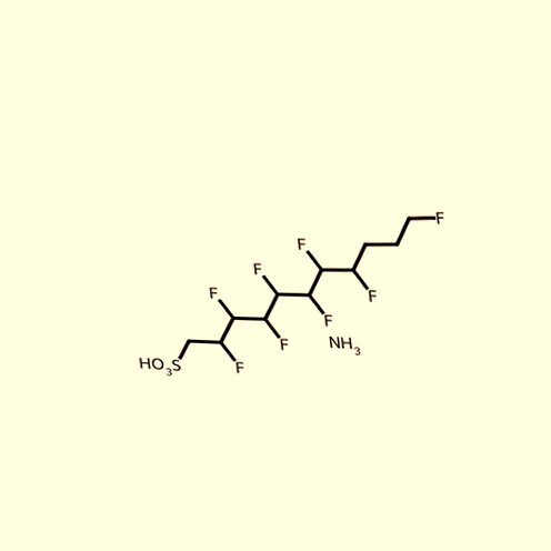 N.O=S(=O)(O)CC(F)C(F)C(F)C(F)C(F)C(F)C(F)CCCF